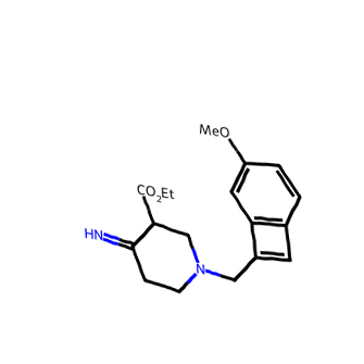 CCOC(=O)C1CN(CC2=Cc3ccc(OC)cc32)CCC1=N